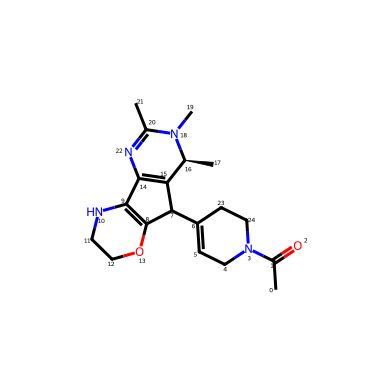 CC(=O)N1CC=C(C2C3=C(NCCO3)C3=C2[C@H](C)N(C)C(C)=N3)CC1